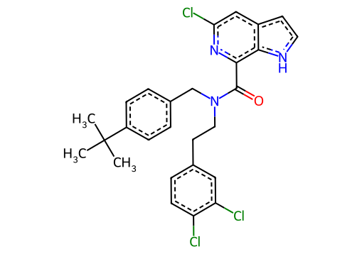 CC(C)(C)c1ccc(CN(CCc2ccc(Cl)c(Cl)c2)C(=O)c2nc(Cl)cc3cc[nH]c23)cc1